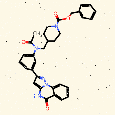 CC(=O)N(CC1CCN(C(=O)OCc2ccccc2)CC1)c1cccc(-c2cc3[nH]c(=O)c4ccccc4n3n2)c1